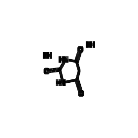 O=C1CC(=O)NC(=O)N1.[KH].[KH]